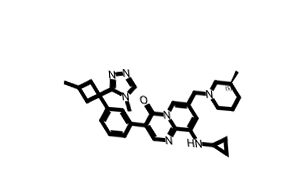 CC1CC(c2cccc(-c3cnc4c(NC5CC5)cc(CN5CCC[C@H](C)C5)cn4c3=O)c2)(c2nncn2C)C1